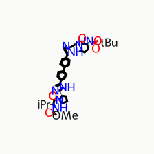 COC(=O)N[C@H](C(=O)N1CCC[C@H]1c1ncc(-c2ccc(-c3ccc(-c4cnc(CN5CCC[C@H](NC(=O)OC(C)(C)C)C5=O)[nH]4)cc3)cc2)[nH]1)C(C)C